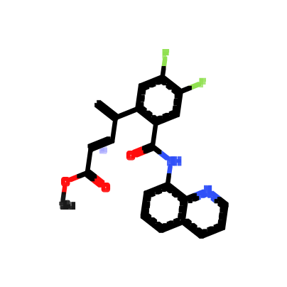 C=C(/C=C/C(=O)OC(C)(C)C)c1cc(F)c(F)cc1C(=O)Nc1cccc2cccnc12